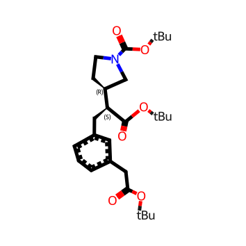 CC(C)(C)OC(=O)Cc1cccc(C[C@H](C(=O)OC(C)(C)C)[C@H]2CCN(C(=O)OC(C)(C)C)C2)c1